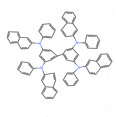 c1ccc(N(c2cc(-c3cc(N(c4ccccc4)c4ccc5ccccc5c4)cc(N(c4ccccc4)c4ccc5ccccc5c4)c3)cc(N(c3ccccc3)c3ccc4ccccc4c3)c2)c2ccc3ccccc3c2)cc1